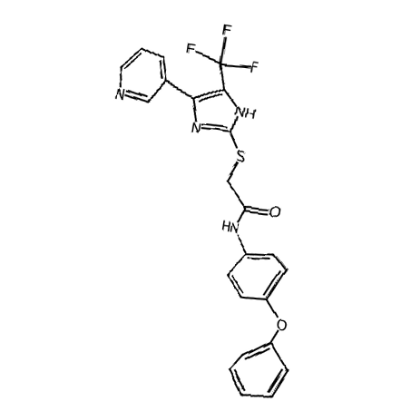 O=C(CSc1nc(-c2cccnc2)c(C(F)(F)F)[nH]1)Nc1ccc(Oc2ccccc2)cc1